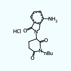 CCCCN1C(=O)CCC(N2Cc3c(N)cccc3C2=O)C1=O.Cl